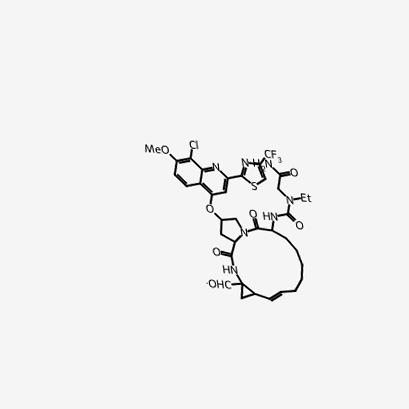 CCN(CC(N)=O)C(=O)NC1CCCCC/C=C/C2CC2([C]=O)NC(=O)C2CC(Oc3cc(-c4nc(C(F)(F)F)cs4)nc4c(Cl)c(OC)ccc34)CN2C1=O